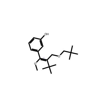 CO/C(=C(/COCC(C)(C)C)C(C)(C)C)c1cccc(O)c1